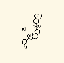 C[C@H](Cc1ccc(S(=O)(=O)c2ccc(C(=O)O)cc2)cc1)NC[C@H](O)c1cccc(Cl)c1.Cl